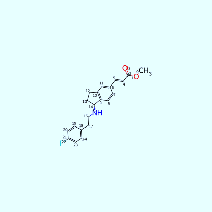 COC(=O)/C=C/c1ccc2c(c1)CCC2NCCc1ccc(F)cc1